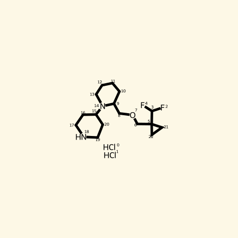 Cl.Cl.FC(F)C1(COCC2CCCCN2C2CCNCC2)CC1